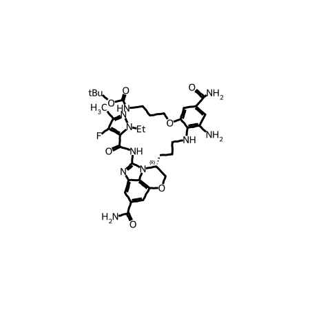 CCn1nc(C)c(F)c1C(=O)Nc1nc2cc(C(N)=O)cc3c2n1[C@H](CCCNc1c(N)cc(C(N)=O)cc1OCCCNC(=O)OC(C)(C)C)CO3